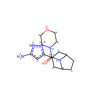 Nc1cc(C2CC3CCC(C2)N3C(=O)N2CCOCC2)n[nH]1